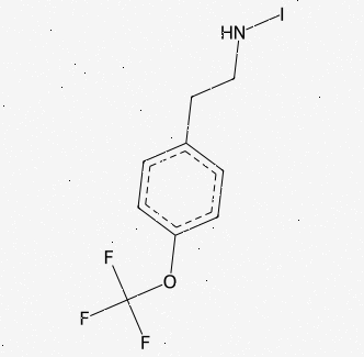 FC(F)(F)Oc1ccc(CCNI)cc1